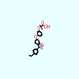 CCc1ccc(-c2noc3cc(Oc4cccc(OC(C)(C)C(=O)O)c4)ccc23)cc1